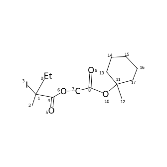 CCC(C)(I)C(=O)OCC(=O)OC1(C)CCCCC1